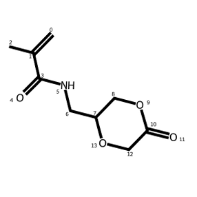 C=C(C)C(=O)NCC1COC(=O)CO1